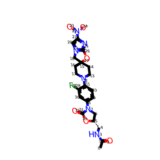 CC(=O)NC[C@H]1CN(c2ccc(N3CCC4(CC3)Cn3cc([N+](=O)[O-])nc3O4)c(F)c2)C(=O)O1